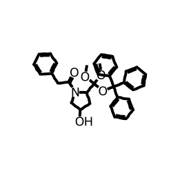 COC(OC)(OC(c1ccccc1)(c1ccccc1)c1ccccc1)C1CC(O)CN1C(=O)Cc1ccccc1